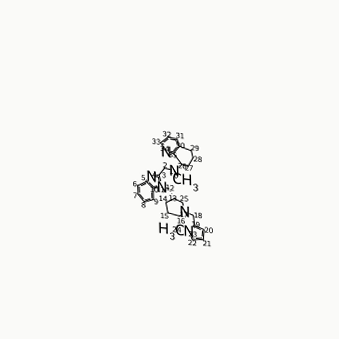 CN(Cc1nc2ccccc2n1C[C@H]1CCCN(Cc2cccn2C)C1)[C@H]1CCCc2cccnc21